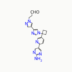 Nc1ncc(-c2ccc(C3(n4cnc(-c5cnn(CCC=O)c5)c4)CCC3)cn2)cn1